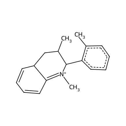 Cc1ccccc1C1C(C)CC2C=CC=CC2=[N+]1C